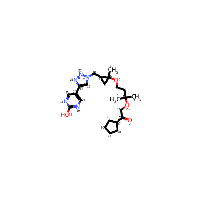 CC(C)(CCOC1(C)CC1Cn1cc(-c2cnc(O)nc2)nn1)OCC(=O)C1CCCC1